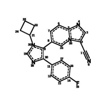 N#Cc1cnc2ccc(-c3c(-c4ccc(F)cc4)ncn3C3CCC3)cn12